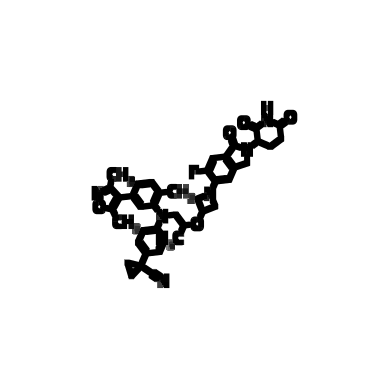 Cc1ccc(-c2c(C)noc2C)cc1N(CC(C)OC1CN(c2cc3c(cc2F)C(=O)N(C2CCC(=O)NC2=O)C3)C1)c1ccc(C2(C#N)CC2)cc1